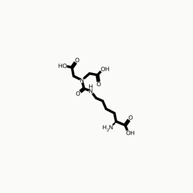 N[C@@H](CCCCNC(=O)N(CC(=O)O)CC(=O)O)C(=O)O